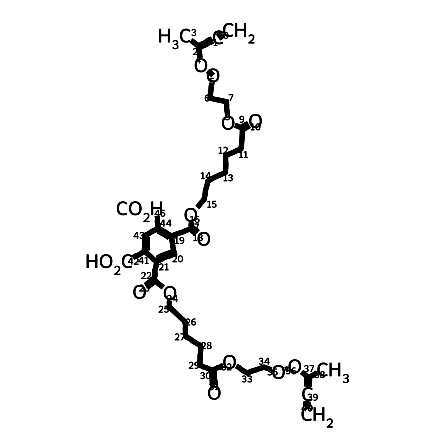 C=C=C(C)OOCCOC(=O)CCCCCOC(=O)c1cc(C(=O)OCCCCCC(=O)OCCOOC(C)=C=C)c(C(=O)O)cc1C(=O)O